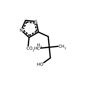 CC(C)(CO)Cc1scnc1C(=O)O